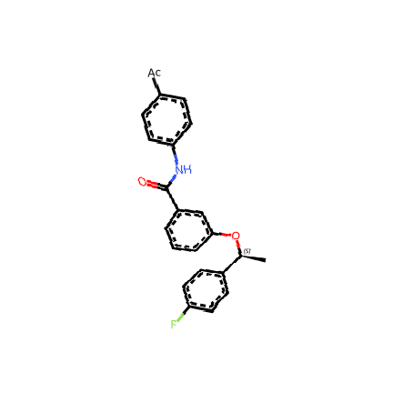 CC(=O)c1ccc(NC(=O)c2cccc(O[C@@H](C)c3ccc(F)cc3)c2)cc1